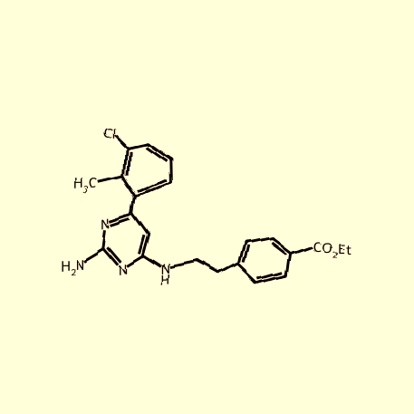 CCOC(=O)c1ccc(CCNc2cc(-c3cccc(Cl)c3C)nc(N)n2)cc1